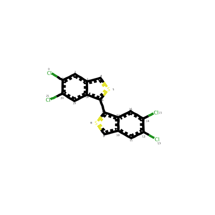 Clc1cc2csc(-c3scc4cc(Cl)c(Cl)cc34)c2cc1Cl